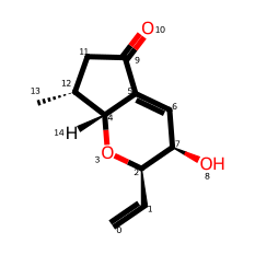 C=C[C@H]1O[C@H]2C(=C[C@H]1O)C(=O)C[C@H]2C